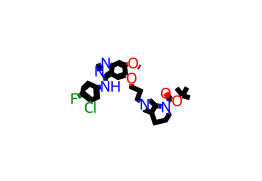 COc1cc2ncnc(Nc3ccc(F)c(Cl)c3)c2cc1OCCCN1CC2CCCN(C(=O)OC(C)(C)C)C2C1